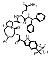 CC(=O)N1CC[C@H]2CC[C@@H](C(=O)N[C@@H](CCC(N)=O)C(=O)NC(c3ccccc3)c3ccccc3)N2C(=O)[C@@H](CC(=O)c2cc3cc(C(F)(F)P(=O)(O)O)ccc3[nH]2)C1